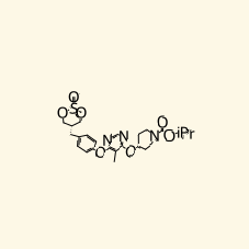 Cc1c(Oc2ccc(C[C@H]3CO[S@](=O)OC3)cc2)ncnc1OC1CCN(C(=O)OC(C)C)CC1